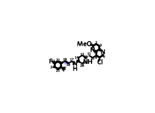 COc1ccc2ncc(Cl)c(CC[C@H]3CC[C@H](NC/C=C/c4cc(F)ccc4F)CN3)c2n1